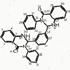 O=C1c2ccccc2NC(c2cccc(C3Nc4ccccc4C(=O)N3c3ccccc3)c2)N1c1ccccc1